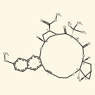 COC(=O)[C@@H]1C[C@@H]2CN1C(=O)[C@H](C(C)(C)C)NC(=O)O[C@@H]1CC3C[C@@H]3[C@H]1CCC/C=C/c1cc3ccc(OC)cc3nc1O2